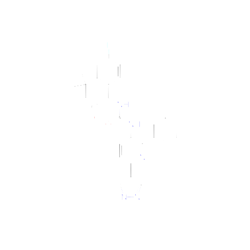 Cc1cc(NC(=O)NC2c3cc(F)c(F)cc3C(C)(C)C[C@H]2O)c(-c2ccccc2)nc1-c1cnn(C)c1